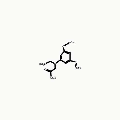 CCCCCCCCCCOc1cc(OCCCCCCCCCC)cc(N(CC(=O)O)CC(=O)OC)c1